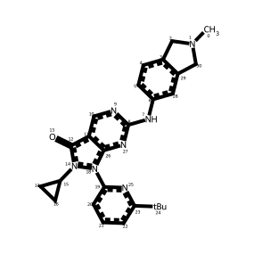 CN1Cc2ccc(Nc3ncc4c(=O)n(C5CC5)n(-c5cccc(C(C)(C)C)n5)c4n3)cc2C1